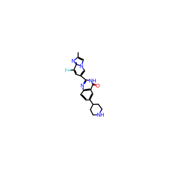 Cc1cn2cc(-c3nc4ccc(C5CCNCC5)cc4c(=O)[nH]3)cc(F)c2n1